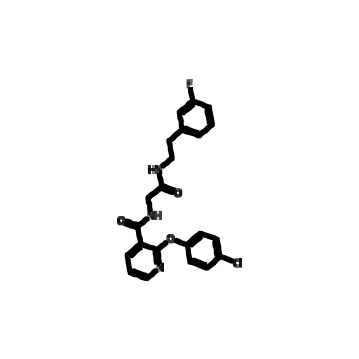 O=C(CNC(=O)c1cccnc1Oc1ccc(Cl)cc1)NCCc1cccc(F)c1